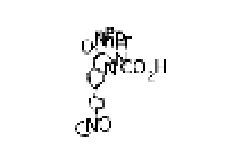 CCCN(CCC)C(=O)C1=Cc2ccc(-c3ccc(C(=O)N4CCCC4)cc3)cc2N=C(NC(=O)O)C1